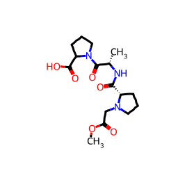 COC(=O)CN1CCC[C@H]1C(=O)N[C@@H](C)C(=O)N1CCCC1C(=O)O